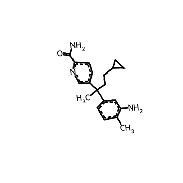 Cc1ccc(C(C)(CCC2CC2)c2ccc(C(N)=O)nc2)cc1N